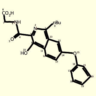 CCCCc1nc(C(=O)NCC(=O)O)c(O)c2ccc(Oc3ccccc3)cc12